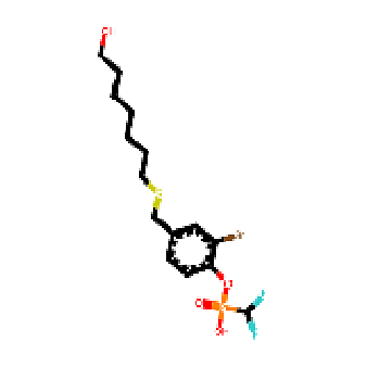 O=P(O)(Oc1ccc(CSCCCCCCCO)cc1Br)C(F)F